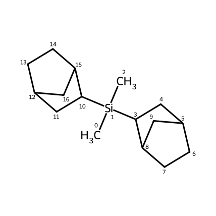 C[Si](C)(C1CC2CCC1C2)C1CC2CCC1C2